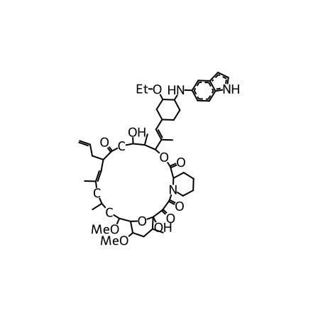 C=CCC1/C=C(\C)CC(C)CC(OC)C2OC(O)(C(=O)C(=O)N3CCCCC3C(=O)OC(C(C)=CC3CCC(Nc4ccc5[nH]ccc5c4)C(OCC)C3)C(C)C(O)CC1=O)C(C)CC2OC